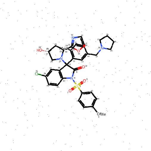 COc1ccc(S(=O)(=O)N2C(=O)C(c3cc(CN4CCCC4)ccc3OC)(N3C[C@H](O)C[C@H]3c3ncco3)c3cc(Cl)ccc32)cc1